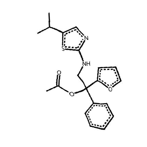 CC(=O)OC(CNc1ncc(C(C)C)s1)(c1ccccc1)c1ccco1